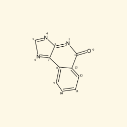 O=C1N=C2N=CN=C2c2ccccc21